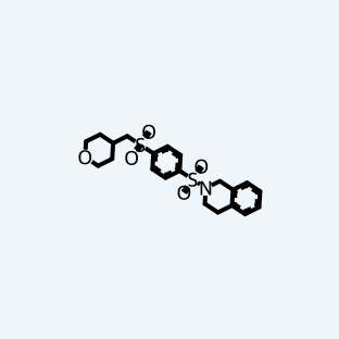 O=S(=O)(CC1CCOCC1)c1ccc(S(=O)(=O)N2CCc3ccccc3C2)cc1